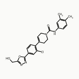 Cc1ccc(NC(=O)N2CC=C(c3ccc(-c4nnc(CO)o4)cc3Cl)CC2)cc1C